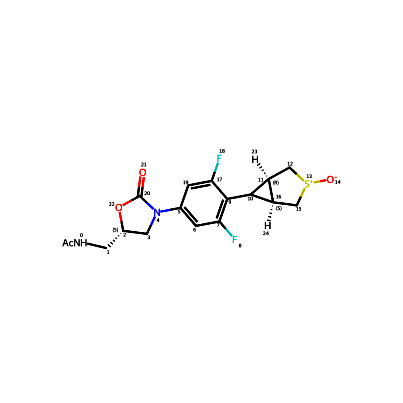 CC(=O)NC[C@H]1CN(c2cc(F)c(C3[C@H]4C[S+]([O-])C[C@@H]34)c(F)c2)C(=O)O1